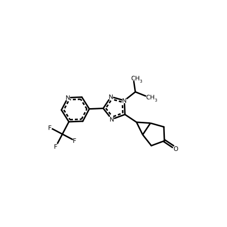 CC(C)n1nc(-c2cncc(C(F)(F)F)c2)nc1C1C2CC(=O)CC21